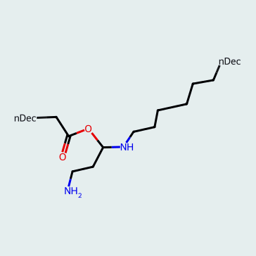 CCCCCCCCCCCCCCCCNC(CCN)OC(=O)CCCCCCCCCCC